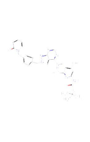 Cc1cc(NC(=O)OC(C)(C)C)nc(C)c1CNc1ncnc2nn(Cc3ccc(Cn4ccccc4=O)cc3)cc12